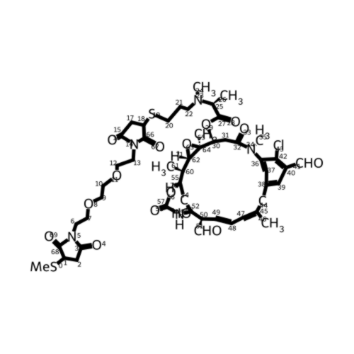 CSC1CC(=O)N(CCOCCOCCN2C(=O)CC(SCCCN(C)[C@@H](C)C(=O)O[C@H]3CC(=O)N(C)c4cc(cc(C=O)c4Cl)C/C(C)=C/C=C/[C@@H](C=O)[C@@]4(O)C[C@H](OC(=O)N4)[C@@H](C)[C@@H]4O[C@@]34C)C2=O)C1=O